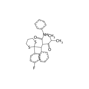 CC(C)C(=O)C(C(=O)Nc1ccccc1)C(c1ccccc1)C1(c2ccc(F)cc2)SCCCS1